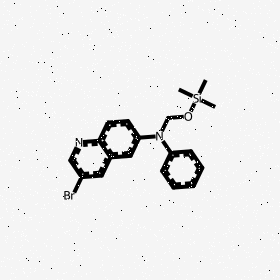 C[Si](C)(C)OCN(c1ccccc1)c1ccc2ncc(Br)cc2c1